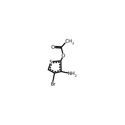 CC(=O)Oc1scc(Br)c1N